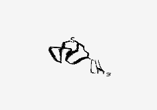 CC1=CC2C=C(CC1)SCC21C=CC1